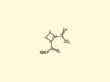 COC(=O)C1CCN1C(=O)C(F)(F)F